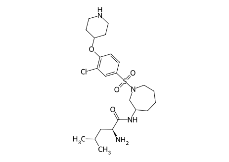 CC(C)C[C@H](N)C(=O)NC1CCCCN(S(=O)(=O)c2ccc(OC3CCNCC3)c(Cl)c2)C1